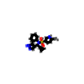 O=S(=O)(c1ccc(C(F)(F)F)nc1)N1c2ccccc2-c2[nH]ncc2C1C1CC1